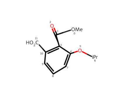 COC(=O)c1c(OC(C)C)cccc1C(=O)O